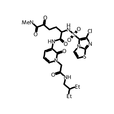 CCC(CC)CNC(=O)Cn1cccc(NC(=O)C(CCC(=O)C(=O)NC)NS(=O)(=O)c2c(Cl)nc3sccn23)c1=O